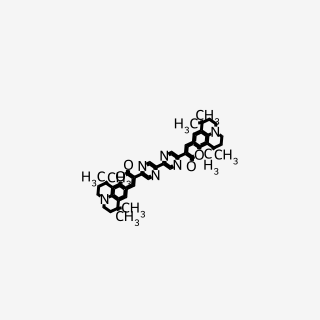 CC1(C)CCN2CCC(C)(C)c3c2c1cc1cc(-c2cnc(-c4cnc(-c5cc6cc7c8c(c6oc5=O)C(C)(C)CCN8CCC7(C)C)cn4)cn2)c(=O)oc31